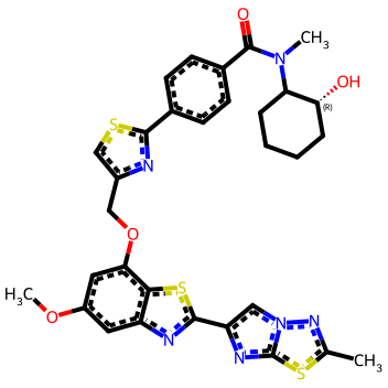 COc1cc(OCc2csc(-c3ccc(C(=O)N(C)C4CCCC[C@H]4O)cc3)n2)c2sc(-c3cn4nc(C)sc4n3)nc2c1